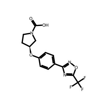 O=C(O)N1CC[C@H](Oc2ccc(-c3noc(C(F)(F)F)n3)cc2)C1